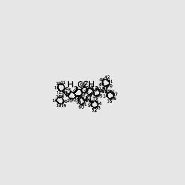 CC1(C)c2cc3cc(N(c4ccccc4)c4ccccc4)ccc3cc2-c2c1cc1cc(N(c3ccccc3)c3ccccc3)ccc1c2N(c1ccccc1)c1ccccc1